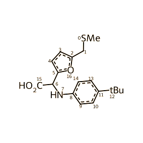 CSCc1ccc(C(Nc2ccc(C(C)(C)C)cc2)C(=O)O)o1